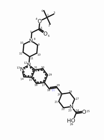 CC(C)(C)OC(=O)CN1CCC(n2ncc3cc(/C=C/C4CCN(C(=O)O)CC4)ccc32)CC1